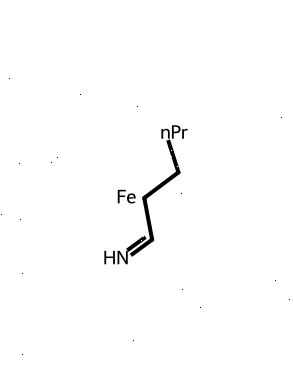 CCCCCC=N.[Fe]